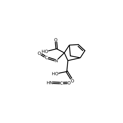 N=C=O.O=C=NC1(C(=O)O)C2C=CC(C2)C1C(=O)O